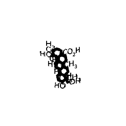 C[C@@H]1CC[C@]2(C(=O)O)CC[C@]3(C)C(=CC[C@@H]4[C@@]5(C)CC[C@H](O)[C@](C)(CO)[C@@H]5CC[C@]43C)[C@@H]2[C@]1(C)O